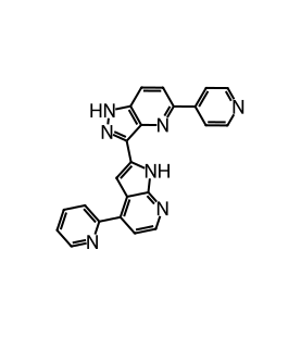 c1ccc(-c2ccnc3[nH]c(-c4n[nH]c5ccc(-c6ccncc6)nc45)cc23)nc1